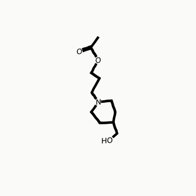 CC(=O)OCCCN1CCC(CO)CC1